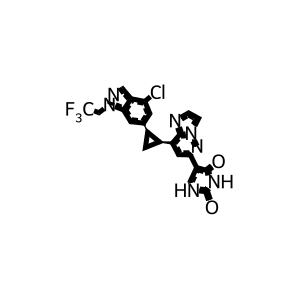 O=c1[nH]cc(-c2cc([C@H]3C[C@@H]3c3cc(Cl)c4cnn(CC(F)(F)F)c4c3)c3nccn3n2)c(=O)[nH]1